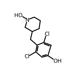 Oc1cc(Cl)c(CC2CCCN(O)C2)c(Cl)c1